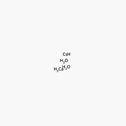 O.O.[CaH2].[CsH]